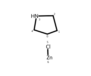 C1CCNC1.[Cl][Zn]